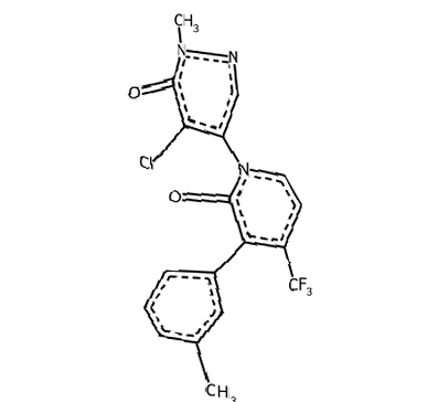 Cc1cccc(-c2c(C(F)(F)F)ccn(-c3cnn(C)c(=O)c3Cl)c2=O)c1